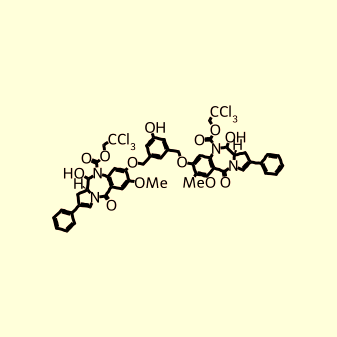 COc1cc2c(cc1OCc1cc(O)cc(COc3cc4c(cc3OC)C(=O)N3C=C(c5ccccc5)C[C@H]3C(O)N4C(=O)OCC(Cl)(Cl)Cl)c1)N(C(=O)OCC(Cl)(Cl)Cl)C(O)[C@@H]1CC(c3ccccc3)=CN1C2=O